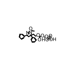 CC(=O)N1N=C(c2ccccc2)CC1(CCOC(=O)OCOP(=O)(O)O)c1ccccc1